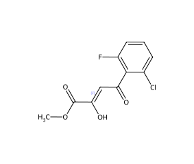 COC(=O)/C(O)=C/C(=O)c1c(F)cccc1Cl